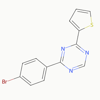 Brc1ccc(-c2ncnc(-c3cccs3)n2)cc1